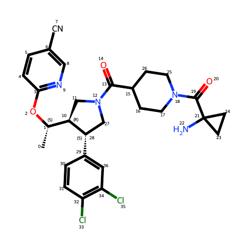 C[C@H](Oc1ccc(C#N)cn1)[C@H]1CN(C(=O)C2CCN(C(=O)C3(N)CC3)CC2)C[C@@H]1c1ccc(Cl)c(Cl)c1